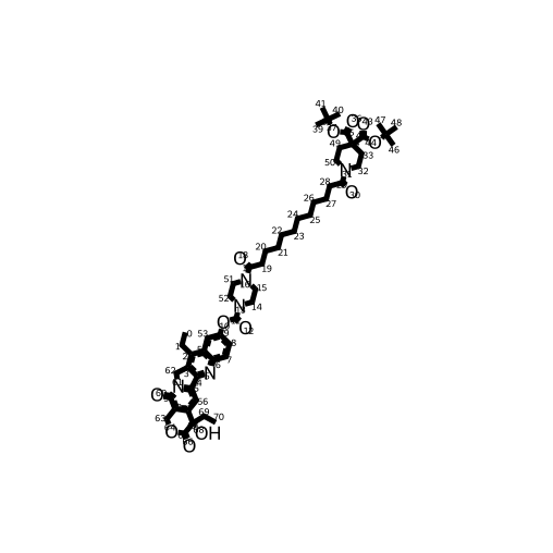 CCc1c2c(nc3ccc(OC(=O)N4CCN(C(=O)CCCCCCCCCCC(=O)N5CCC(C(=O)OC(C)(C)C)(C(=O)OC(C)(C)C)CC5)CC4)cc13)-c1cc3c(c(=O)n1C2)COC(=O)[C@]3(O)CC